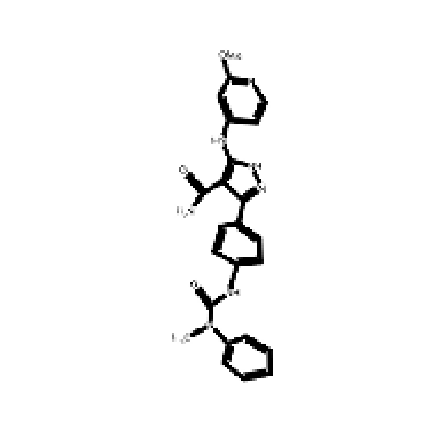 COc1cc(Nc2[nH]nc(-c3ccc(NC(=O)N(C)c4ccccc4)cc3)c2C(N)=O)ccn1